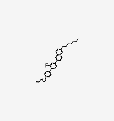 C=CCOc1ccc(-c2ccc(-c3ccc4cc(CCCCCCC)ccc4c3)cc2F)cc1